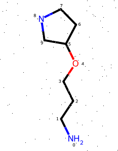 NCCCOC1CC[N]C1